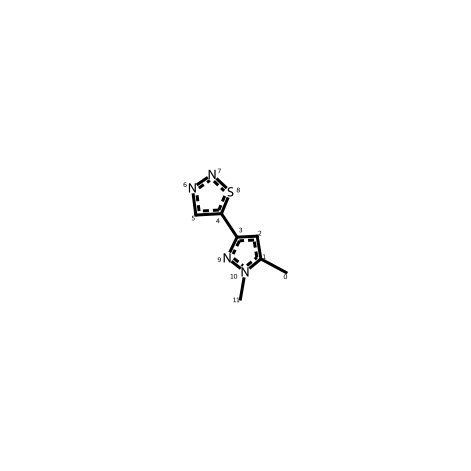 Cc1cc(-c2cnns2)nn1C